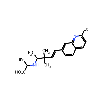 CCc1ccc2ccc(/C=C/C(C)(C)[C@@H](NC(C(=O)O)C(C)C)C(F)(F)F)cc2n1